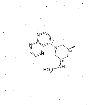 C[C@H]1C[C@@H](NC(=O)O)CN(c2ccnc3nccnc23)C1